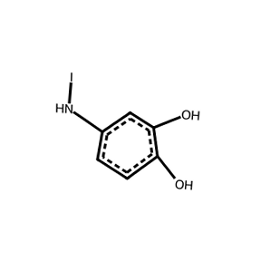 Oc1ccc(NI)cc1O